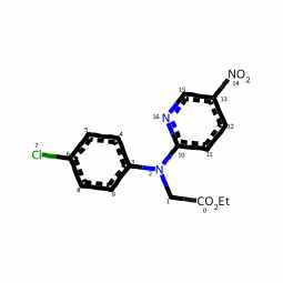 CCOC(=O)CN(c1ccc(Cl)cc1)c1ccc([N+](=O)[O-])cn1